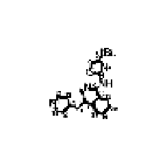 CC(C)(C)c1csc(Nc2nnc(Cc3ccncc3)c3ccccc23)n1